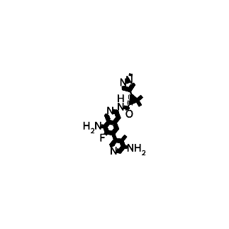 Cc1c(N)cncc1-c1cc2cc(NC(=O)[C@@H]3[C@@H](c4cnn(C)c4)C3(C)C)ncc2c(N)c1F